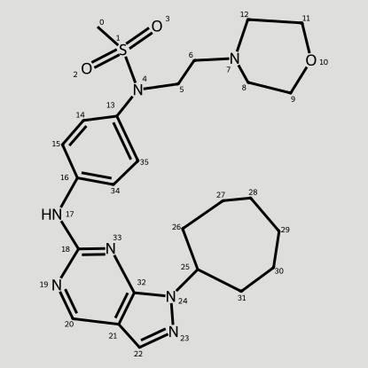 CS(=O)(=O)N(CCN1CCOCC1)c1ccc(Nc2ncc3cnn(C4CCCCCC4)c3n2)cc1